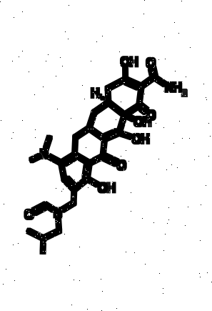 CC(C)CN(C=O)Cc1cc(N(C)C)c2c(c1O)C(=O)C1=C(O)C3(O)C(=O)C(C(N)=O)=C(O)C[C@@H]3CC1C2